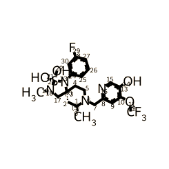 C[C@H]1C[C@]2(CCN1Cc1cc(OC(F)(F)F)c(O)cn1)CN(C)S(O)(O)N2c1cccc(F)c1